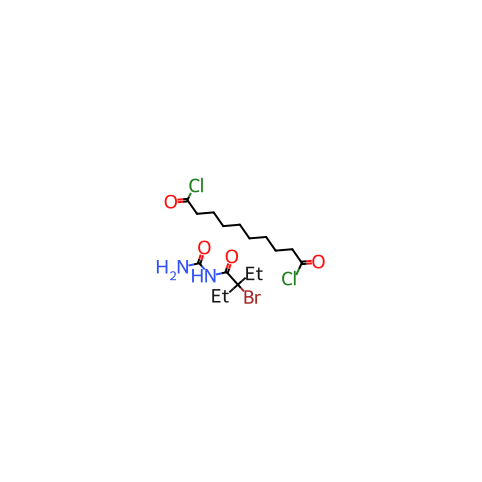 CCC(Br)(CC)C(=O)NC(N)=O.O=C(Cl)CCCCCCCCC(=O)Cl